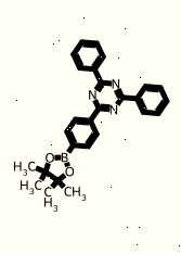 CC1(C)OB(c2ccc(-c3nc(-c4ccccc4)nc(-c4ccccc4)n3)cc2)OC1(C)C